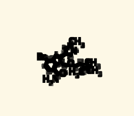 Cn1cc(-c2cc3c(Br)ccc(C(N)=O)c3n2COCC[Si](C)(C)C)cn1